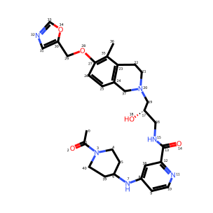 CC(=O)N1CCC(Nc2ccnc(C(=O)NC[C@H](O)CN3CCc4c(ccc(OCc5cnco5)c4C)C3)c2)CC1